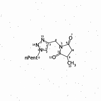 CCCCCn1cc(CN2C(=O)CC(C)C2=O)nn1